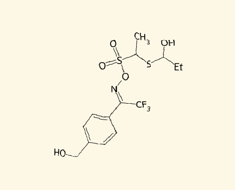 CCC(O)SC(C)S(=O)(=O)ON=C(c1ccc(CO)cc1)C(F)(F)F